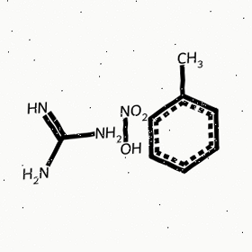 Cc1ccccc1.N=C(N)N.O=[N+]([O-])O